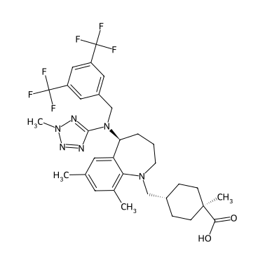 Cc1cc(C)c2c(c1)[C@@H](N(Cc1cc(C(F)(F)F)cc(C(F)(F)F)c1)c1nnn(C)n1)CCCN2C[C@H]1CC[C@](C)(C(=O)O)CC1